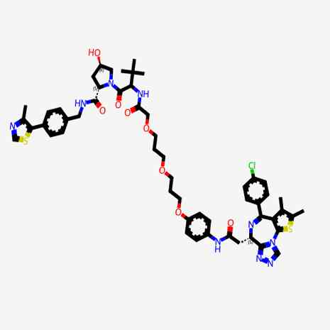 Cc1ncsc1-c1ccc(CNC(=O)[C@@H]2C[C@@H](O)CN2C(=O)C(NC(=O)COCCCOCCCOc2ccc(NC(=O)C[C@@H]3N=C(c4ccc(Cl)cc4)c4c(sc(C)c4C)-n4cnnc43)cc2)C(C)(C)C)cc1